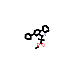 CCOC(=O)C(C)(C)c1nc2ccccc2c2ccc(-c3ccccc3)cc12